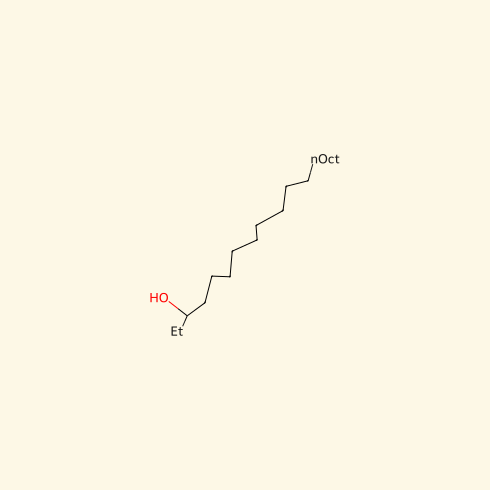 [CH2]CC(O)CCCCCCCCCCCCCCCCC